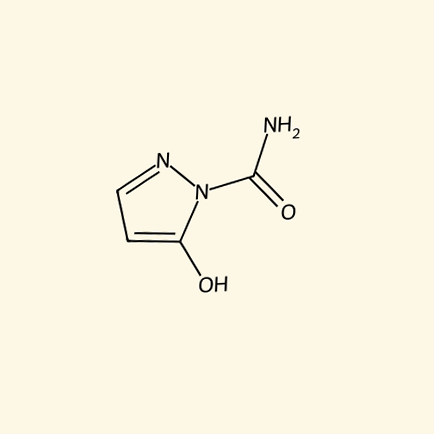 NC(=O)n1nccc1O